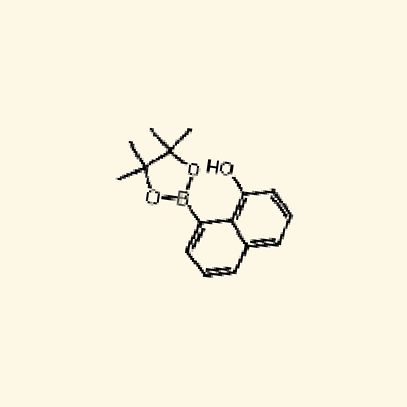 CC1(C)OB(c2cccc3cccc(O)c23)OC1(C)C